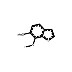 COc1ccc2ccsc2c1SCl